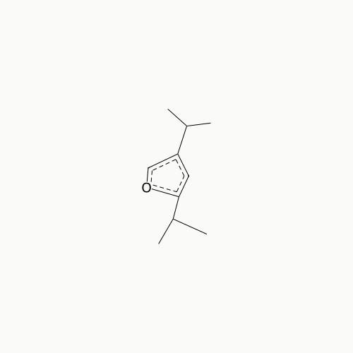 CC(C)c1coc(C(C)C)c1